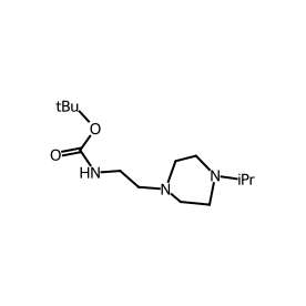 CC(C)N1CCN(CCNC(=O)OC(C)(C)C)CC1